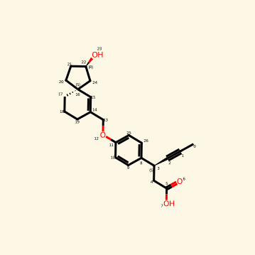 CC#C[C@@H](CC(=O)O)c1ccc(OCC2=C[C@@]3(CCC2)CC[C@@H](O)C3)cc1